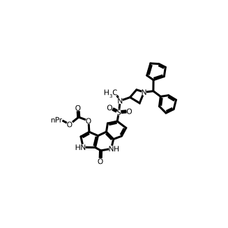 CCCOC(=O)Oc1c[nH]c2c(=O)[nH]c3ccc(S(=O)(=O)N(C)C4CN(C(c5ccccc5)c5ccccc5)C4)cc3c12